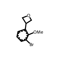 COc1c(Br)cccc1C1COC1